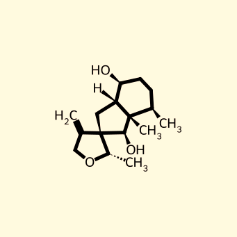 C=C1CO[C@@H](C)[C@]12C[C@@H]1[C@@H](O)CC[C@@H](C)[C@]1(C)[C@H]2O